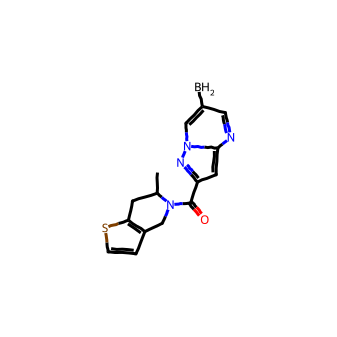 Bc1cnc2cc(C(=O)N3Cc4ccsc4CC3C)nn2c1